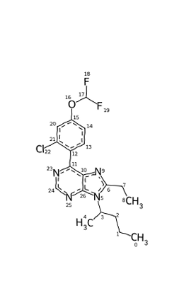 CCCC(C)n1c(CC)nc2c(-c3ccc(OC(F)F)cc3Cl)ncnc21